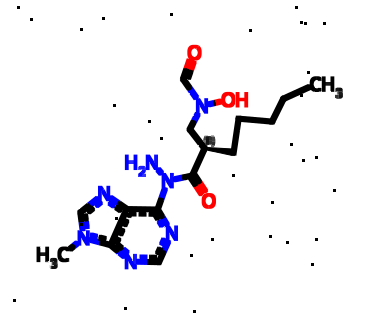 CCCCC[C@H](CN(O)C=O)C(=O)N(N)c1ncnc2c1ncn2C